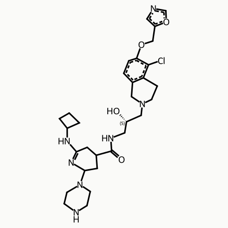 O=C(NC[C@H](O)CN1CCc2c(ccc(OCc3cnco3)c2Cl)C1)C1CC(NC2CCC2)=NC(N2CCNCC2)C1